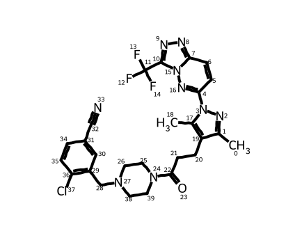 Cc1nn(-c2ccc3nnc(C(F)(F)F)n3n2)c(C)c1CCC(=O)N1CCN(Cc2cc(C#N)ccc2Cl)CC1